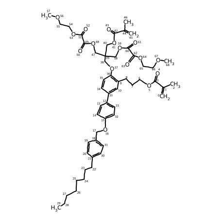 C=C(C)C(=O)OCCCc1cc(-c2ccc(OCc3ccc(CCCCCCCC)cc3)cc2)ccc1OCC(COC(=O)C(=C)C)(COC(=O)C(=O)OCCOC)COC(=O)C(=O)OCCOC